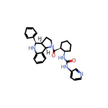 O=C(Nc1cccnc1)N[C@@H]1CCCC[C@@H]1C(=O)N1CC[C@@H]2[C@H](c3ccccc3)Nc3ccccc3[C@@H]21